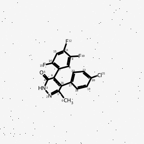 Cc1n[nH]c(=O)c(-c2cc(F)c(F)cc2F)c1-c1ccc(Cl)cc1